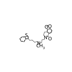 CN(CCCCc1csc2ccccc12)CCCN1CCc2c(ccc3c2OCO3)C1=O